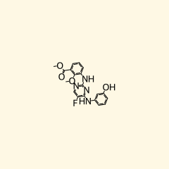 COC(=O)c1cccc(Nc2ncc(F)c(Nc3cccc(O)c3)n2)c1OC